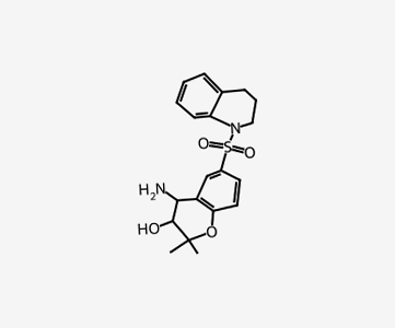 CC1(C)Oc2ccc(S(=O)(=O)N3CCCc4ccccc43)cc2C(N)C1O